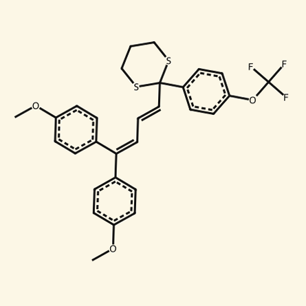 COc1ccc(C(=CC=CC2(c3ccc(OC(F)(F)F)cc3)SCCCS2)c2ccc(OC)cc2)cc1